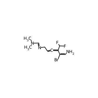 CN(C)/C=N/CC=C=C(/C(Br)=C\N)C(F)F